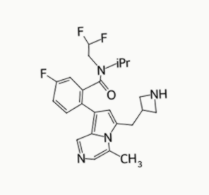 Cc1cncc2c(-c3ccc(F)cc3C(=O)N(CC(F)F)C(C)C)cc(CC3CNC3)n12